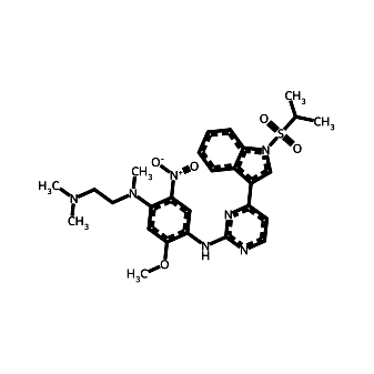 COc1cc(N(C)CCN(C)C)c([N+](=O)[O-])cc1Nc1nccc(-c2cn(S(=O)(=O)C(C)C)c3ccccc23)n1